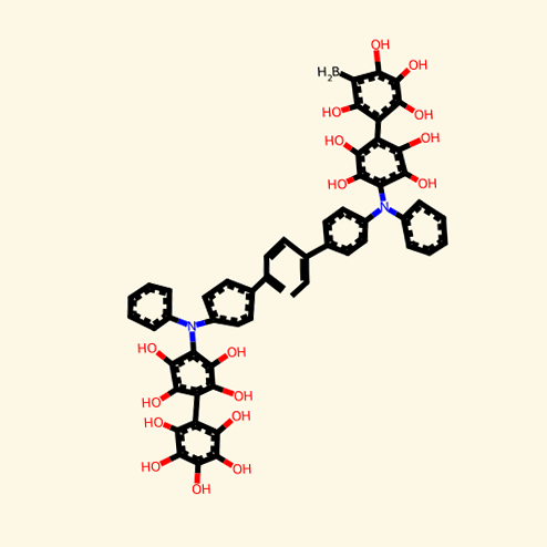 Bc1c(O)c(O)c(O)c(-c2c(O)c(O)c(N(c3ccccc3)c3ccc(C(/C=C\C(=C)c4ccc(N(c5ccccc5)c5c(O)c(O)c(-c6c(O)c(O)c(O)c(O)c6O)c(O)c5O)cc4)=C/C)cc3)c(O)c2O)c1O